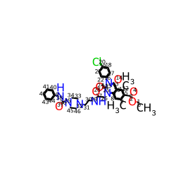 CCOC(=O)c1c(C)cc2c(c1C)c(=O)n(-c1ccc(Cl)cc1)c(=O)n2CC(=O)NCCN1CCN(C(=O)Nc2ccccc2)CC1